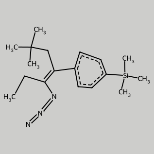 CC/C(N=[N+]=[N-])=C(\CC(C)(C)C)c1ccc([Si](C)(C)C)cc1